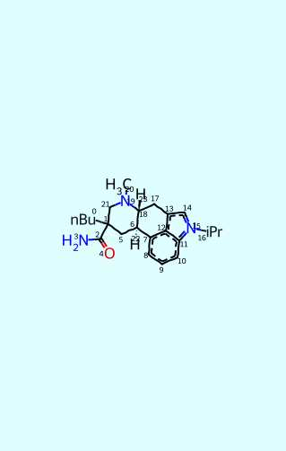 CCCCC1(C(N)=O)C[C@@H]2c3cccc4c3c(cn4C(C)C)C[C@H]2N(C)C1